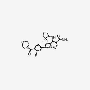 C[C@]1(F)CCC[C@H]1Nc1c(C(N)=O)cnn2cc(-c3ccc(C(=O)N4CCOCC4)c(F)c3)cc12